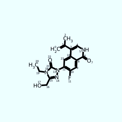 C=C(C)c1c[nH]c(=O)c2cc(F)c(-n3nc(CO)n(CC)c3=O)cc12